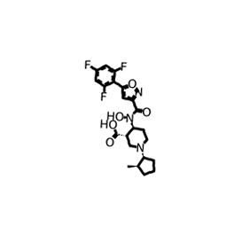 C[C@@H]1CCC[C@H]1N1CC[C@H](N(O)C(=O)c2cc(-c3c(F)cc(F)cc3F)on2)[C@@H](C(=O)O)C1